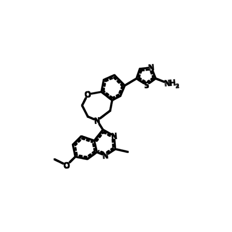 COc1ccc2c(N3CCOc4ccc(-c5cnc(N)s5)cc4C3)nc(C)nc2c1